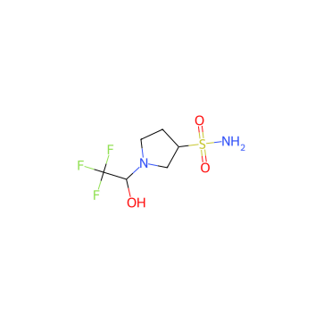 NS(=O)(=O)C1CCN(C(O)C(F)(F)F)C1